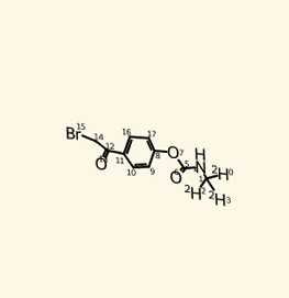 [2H]C([2H])([2H])NC(=O)Oc1ccc(C(=O)CBr)cc1